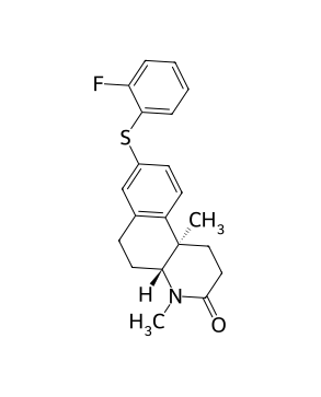 CN1C(=O)CC[C@]2(C)c3ccc(Sc4ccccc4F)cc3CC[C@@H]12